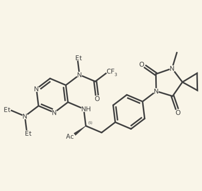 CCN(CC)c1ncc(N(CC)C(=O)C(F)(F)F)c(N[C@@H](Cc2ccc(N3C(=O)N(C)C4(CC4)C3=O)cc2)C(C)=O)n1